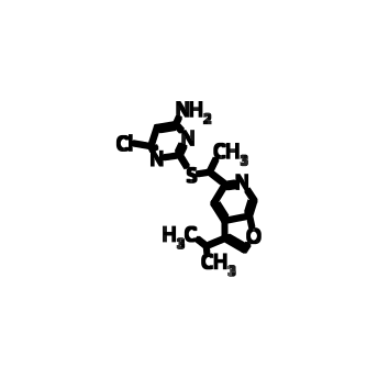 CC(C)c1coc2cnc(C(C)Sc3nc(N)cc(Cl)n3)cc12